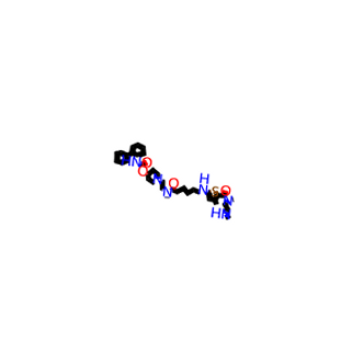 CNCCN(C)C(=O)c1sc(NCCCCCC(=O)N(C)CCN2CCC(OC(=O)Nc3ccccc3-c3ccccc3)CC2)cc1C